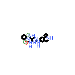 N=c1c2cnc(Nc3ccc4c(c3)C=CNC43CCC3)nc2[nH]c(=O)n1-c1c(Cl)cccc1Cl